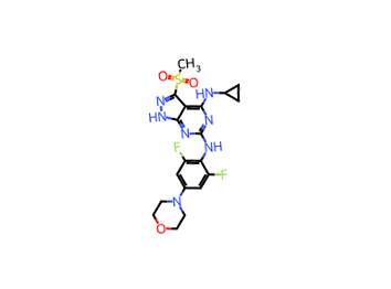 CS(=O)(=O)c1n[nH]c2nc(Nc3c(F)cc(N4CCOCC4)cc3F)nc(NC3CC3)c12